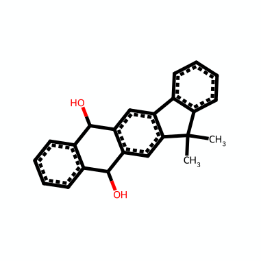 CC1(C)c2ccccc2-c2cc3c(cc21)C(O)c1ccccc1C3O